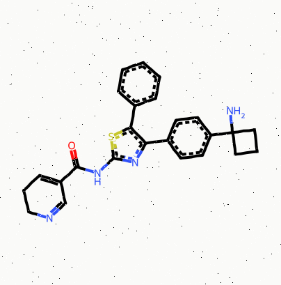 NC1(c2ccc(-c3nc(NC(=O)C4=CCCN=C4)sc3-c3ccccc3)cc2)CCC1